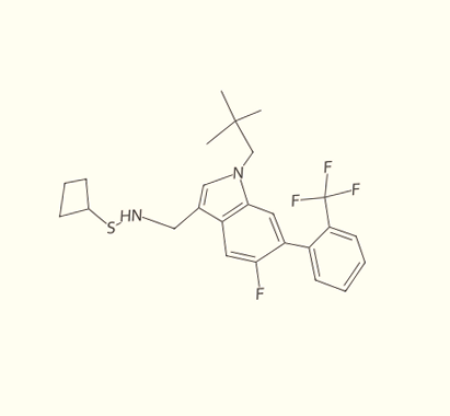 CC(C)(C)Cn1cc(CNSC2CCC2)c2cc(F)c(-c3ccccc3C(F)(F)F)cc21